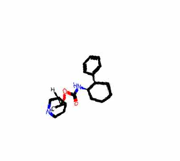 O=C(N[C@@H]1CCCC[C@@H]1c1ccccc1)O[C@H]1CN2CCC1CC2